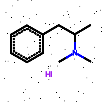 CC(Cc1ccccc1)N(C)C.I